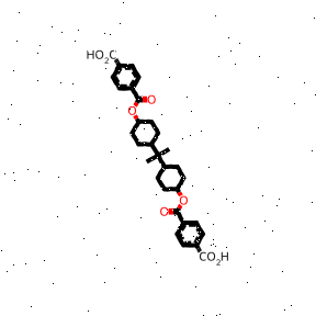 CC(C)(C1CCC(OC(=O)c2ccc(C(=O)O)cc2)CC1)C1CCC(OC(=O)c2ccc(C(=O)O)cc2)CC1